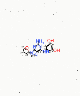 Nc1nc(Nc2cc(O)cc(O)c2)c2ncn(C3CCCO3)c2n1